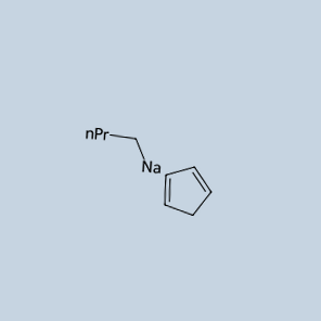 C1=CCC=C1.CCC[CH2][Na]